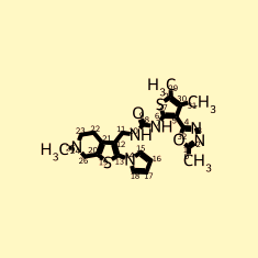 Cc1nnc(-c2c(NC(=O)NCc3c(-n4cccc4)sc4c3CCN(C)C4)sc(C)c2C)o1